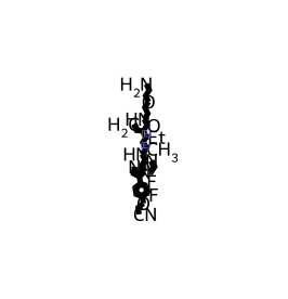 C=C/C(C(=O)NCCOCCN)=C(\C=C(/C)Nc1nccn2c(-c3ccc(OCC#N)c(F)c3F)cnc12)CC